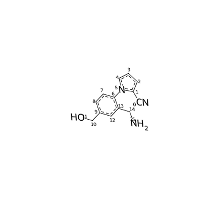 N#Cc1cccn1-c1ccc(CO)cc1CN